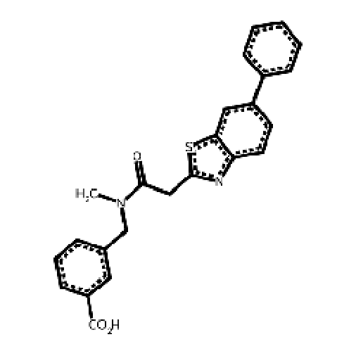 CN(Cc1cccc(C(=O)O)c1)C(=O)Cc1nc2ccc(-c3ccccc3)cc2s1